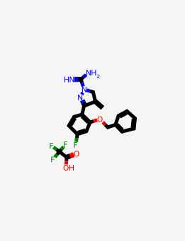 C=C1CN(C(=N)N)N=C1c1ccc(F)cc1OCc1ccccc1.O=C(O)C(F)(F)F